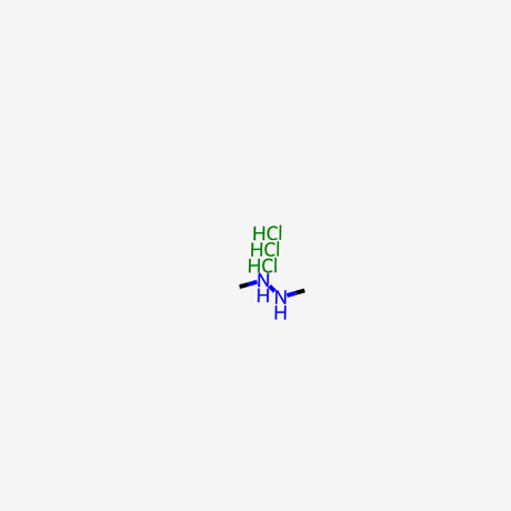 CNNC.Cl.Cl.Cl